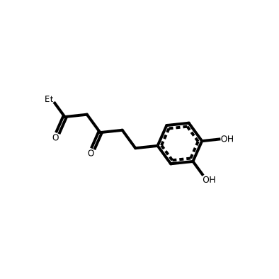 CCC(=O)CC(=O)CCc1ccc(O)c(O)c1